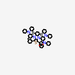 Cc1cc2c3c(c1)N1c4c(ccc5c4N(c4cc(N(c6ccccc6)c6ccccc6)cc6c4B5c4ccccc4N6c4ccccc4)c4c(-c5ccccc5)sc(-c5ccccc5)c41)B3c1ccccc1N2c1ccccc1